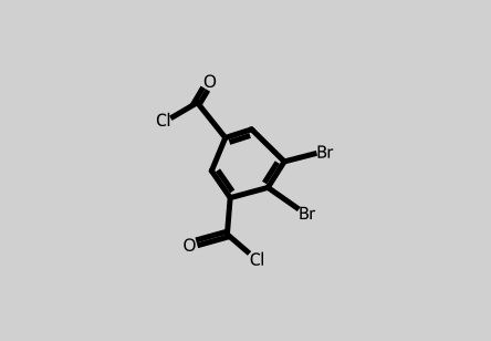 O=C(Cl)c1cc(Br)c(Br)c(C(=O)Cl)c1